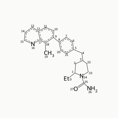 CCC1CC(Cc2ccc(-c3ccc4cccnc4c3C)cc2)CCN1C(N)=O